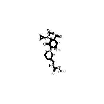 CC(C)(C)OC(=O)NCC1CCCN(c2c(F)cc3c(c2Cl)N(C2CC2)C(=O)[N]C3=O)C1